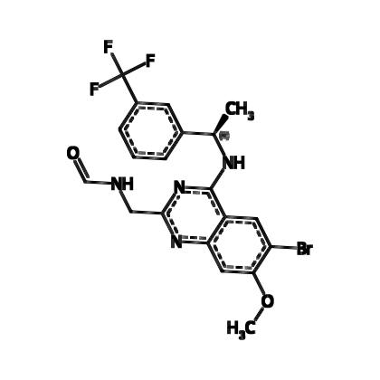 COc1cc2nc(CNC=O)nc(N[C@H](C)c3cccc(C(F)(F)F)c3)c2cc1Br